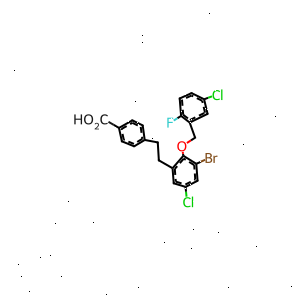 O=C(O)c1ccc(CCc2cc(Cl)cc(Br)c2OCc2cc(Cl)ccc2F)cc1